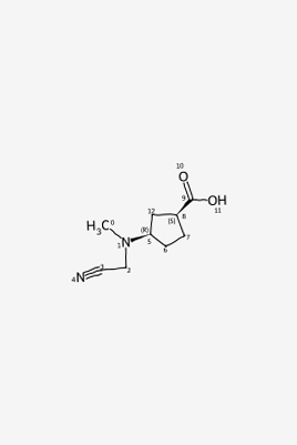 CN(CC#N)[C@@H]1CC[C@H](C(=O)O)C1